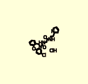 Cl.O=C(CNC(=O)N1Cc2ccccc2Oc2ccc(Cl)cc21)NCCc1ccccn1